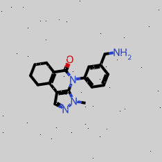 Cn1ncc2c3c(c(=O)n(-c4cccc(CN)c4)c21)CCCC3